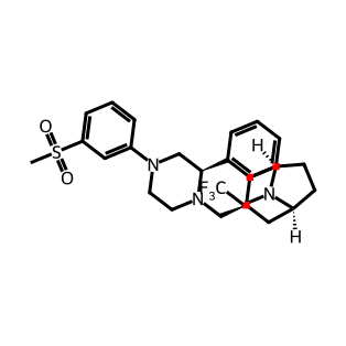 CS(=O)(=O)c1cccc(N2CCN(C[C@H]3C[C@H]4CC[C@@H](C3)N4CC(F)(F)F)[C@H](c3ccccc3)C2)c1